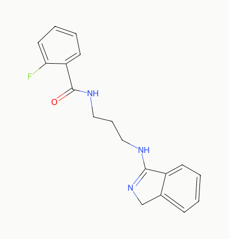 O=C(NCCCNC1=NCc2ccccc21)c1ccccc1F